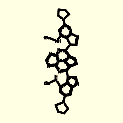 CC(C)(C)Nc1cc(N2CCCC2)cc2c1C(c1nc3ncnc4nc(-n5cnc6cc(N7CCCC7)cc(NC(C)(C)C)c65)c5ccc1c5n34)C=N2